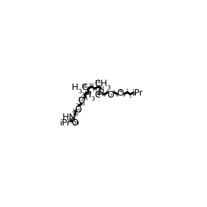 CC(C)CCCOCCOCCN(C)CC(C)CCC(C)CCCOCCOCCNC(=O)C(C)C